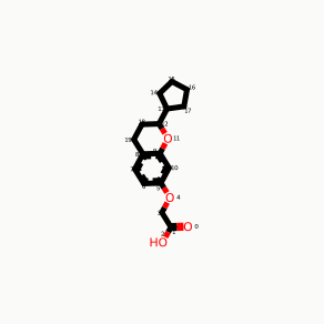 O=C(O)COc1ccc2c(c1)OC(C1CCCC1)CC2